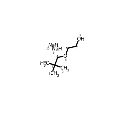 CC(C)(C)COCCO.[NaH].[NaH]